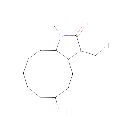 BC1CCCCCC2C(CC1)C(CC(C)C)C(=O)N2C(C)C